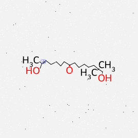 C/C(=C/CCCCC(=O)CCCCCC(C)(C)CO)CO